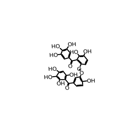 O=C(c1ccc(O)c(OOc2ccc(O)c(O)c2C(=O)c2cc(O)c(O)c(O)c2)c1)c1c(O)cc(O)c(O)c1O